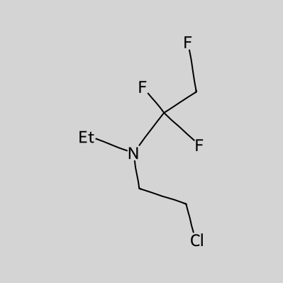 CCN(CCCl)C(F)(F)CF